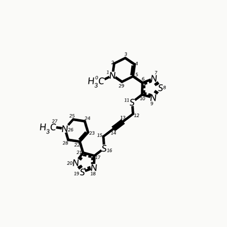 CN1CCC=C(c2nsnc2SCC#CCSc2nsnc2C2=CCCN(C)C2)C1